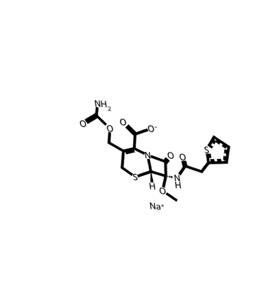 CO[C@]1(NC(=O)Cc2cccs2)C(=O)N2C(C(=O)[O-])=C(COC(N)=O)CS[C@H]21.[Na+]